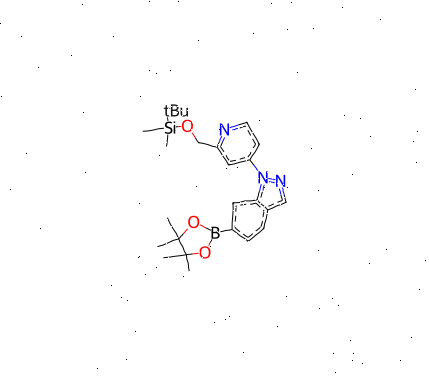 CC1(C)OB(c2ccc3cnn(-c4ccnc(CO[Si](C)(C)C(C)(C)C)c4)c3c2)OC1(C)C